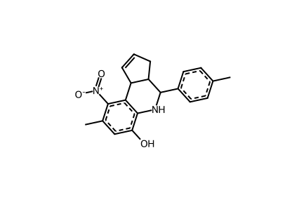 Cc1ccc(C2Nc3c(O)cc(C)c([N+](=O)[O-])c3C3C=CCC32)cc1